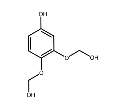 OCOc1ccc(O)cc1OCO